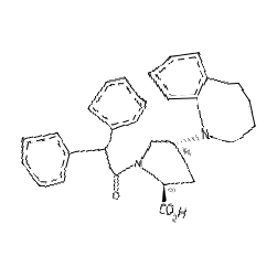 O=C(O)[C@@H]1C[C@@H](N2CCCCc3ccccc32)CN1C(=O)C(c1ccccc1)c1ccccc1